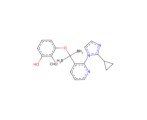 BC(B)(Oc1cccc(O)c1C=O)c1cccnc1-n1ccnc1C1CC1